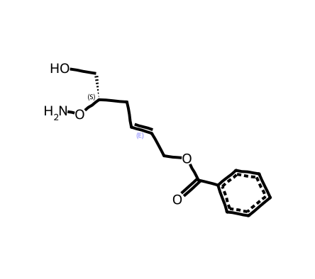 NO[C@H](CO)C/C=C/COC(=O)c1ccccc1